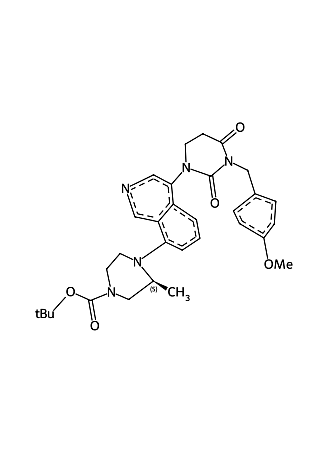 COc1ccc(CN2C(=O)CCN(c3cncc4c(N5CCN(C(=O)OC(C)(C)C)C[C@@H]5C)cccc34)C2=O)cc1